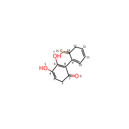 O=C1CC=C(O)C(O)=C1C1=CC=CCC1=S